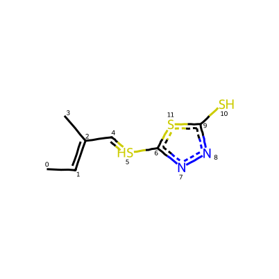 CC=C(C)C=[SH]c1nnc(S)s1